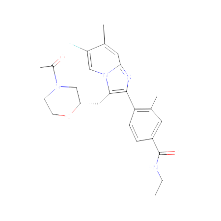 CCNC(=O)c1ccc(-c2nc3cc(C)c(F)cn3c2C[C@H]2CN(C(C)=O)CCO2)c(C)c1